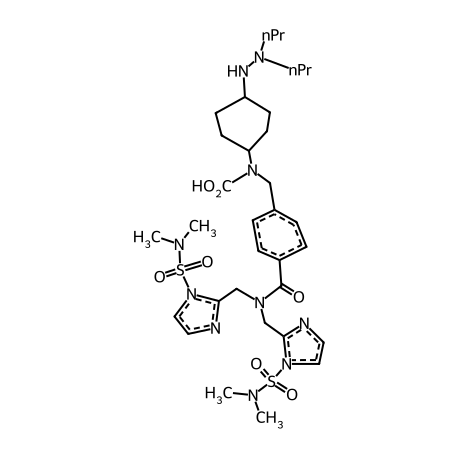 CCCN(CCC)NC1CCC(N(Cc2ccc(C(=O)N(Cc3nccn3S(=O)(=O)N(C)C)Cc3nccn3S(=O)(=O)N(C)C)cc2)C(=O)O)CC1